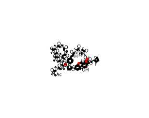 CC(=O)CN(C)C(=O)CN(C)C(=O)CN(C)C(=O)CN(C)C(=O)CN(C)C(=O)CN(C)C(=O)CN(C)C(=O)CN(C)C(=O)CN(C)C(=O)CN(C)C(=O)CCCOc1c(CCC(=O)N[C@@H](C)C(=O)N[C@@H](C)C(=O)NCOCC(=O)[C@@]23O[C@H](c4sccc4F)O[C@@H]2C[C@H]2[C@@H]4CCC5=CC(=O)C=C[C@]5(C)[C@H]4[C@@H](O)C[C@@]23C)ccc(N2C(=O)C=CC2=O)c1F